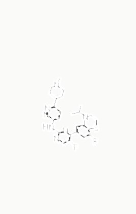 CC(C)N1CCSc2c(F)cc(-c3nc(Nc4ccc(C5CCN(C)CC5)nn4)ncc3F)cc21